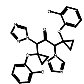 O=C(C(n1cncn1)C1(Oc2ccccc2Cl)CC1)C(n1cncn1)C1(Oc2ccccc2Cl)CC1